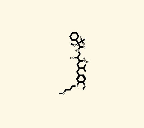 COCCCOc1cc(CC(CC(N)C(O)CNC(=O)[C@](OC)(C2CCCCC2)C(F)(F)F)C(C)C)ccc1OC.Cl